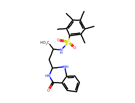 Cc1c(C)c(C)c(S(=O)(=O)NC(CC2NC(=O)c3ccccc3N2)C(=O)O)c(C)c1C